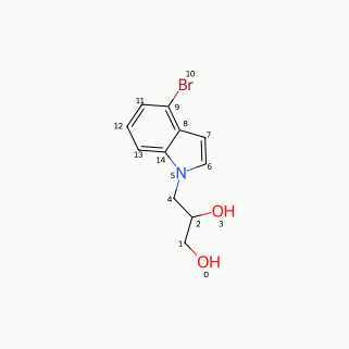 OCC(O)Cn1ccc2c(Br)cccc21